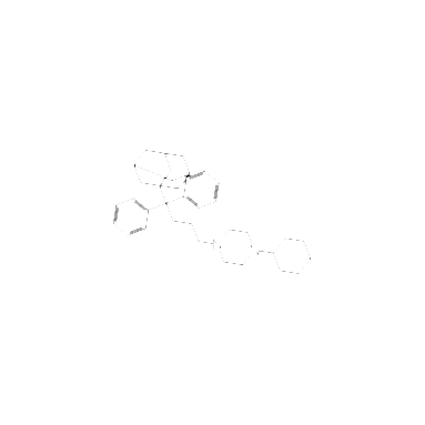 c1ccc(C(CCCN2CCN(C3CCCCC3)CC2)(c2ccccc2)C23CC4CC(CC(C4)C2)C3)cc1